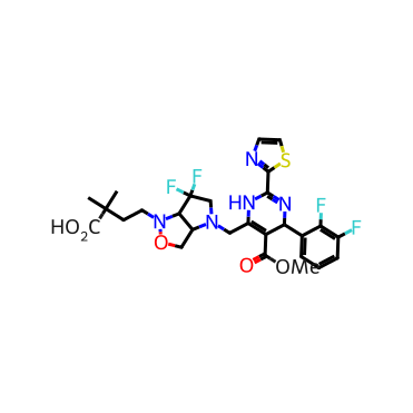 COC(=O)C1=C(CN2CC(F)(F)C3C2CON3CCC(C)(C)C(=O)O)NC(c2nccs2)=NC1c1cccc(F)c1F